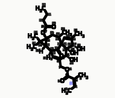 C/C=C(/C)C(=O)OCC1=C[C@@H]2C(=O)[C@]3(C=C(C)[C@H](O)[C@@]3(O)[C@@H]1O)[C@H](C)C[C@]1(OC(=O)CCC)[C@H]2C1(C)C